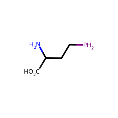 NC(CCP)C(=O)O